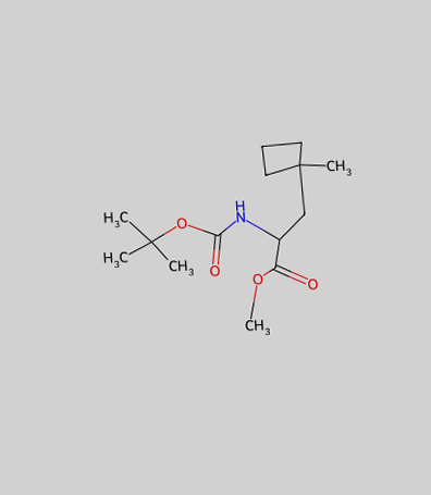 COC(=O)C(CC1(C)CCC1)NC(=O)OC(C)(C)C